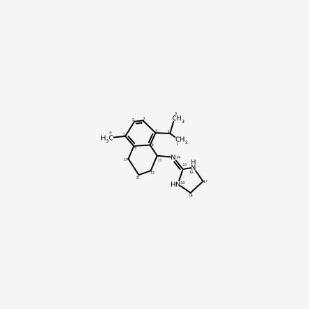 Cc1ccc(C(C)C)c2c1CCCC2N=C1NCCN1